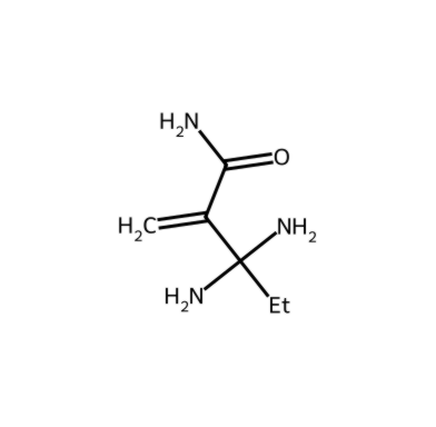 C=C(C(N)=O)C(N)(N)CC